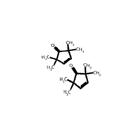 CC1(C)C=CC(C)(C)C1=O.CC1(C)C=CC(C)(C)C1=O